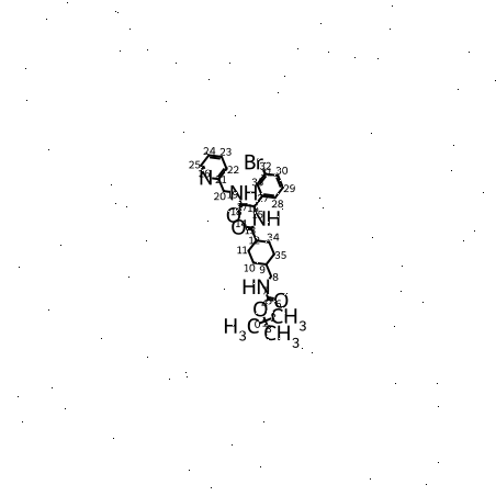 CC(C)(C)OC(=O)NCC1CCC(C(=O)NC(C(=O)NCc2ccccn2)c2cccc(Br)c2)CC1